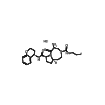 Cl.N[C@H]1CN(C(=O)NCCF)CC[C@H]2CC[C@@H](C(=O)N[C@@H]3CCOc4ccccc43)N2C1=O